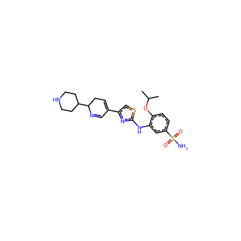 CC(C)Oc1ccc(S(N)(=O)=O)cc1Nc1nc(C2=CCC(C3CCNCC3)N=C2)cs1